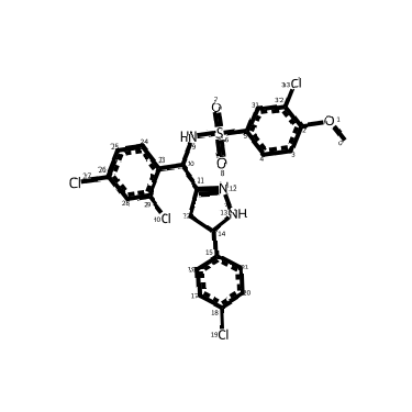 COc1ccc(S(=O)(=O)NC(C2=NNC(c3ccc(Cl)cc3)C2)c2ccc(Cl)cc2Cl)cc1Cl